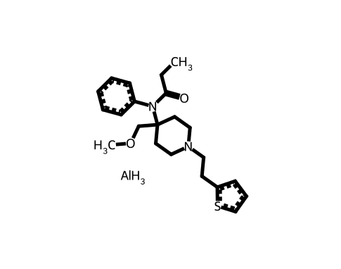 CCC(=O)N(c1ccccc1)C1(COC)CCN(CCc2cccs2)CC1.[AlH3]